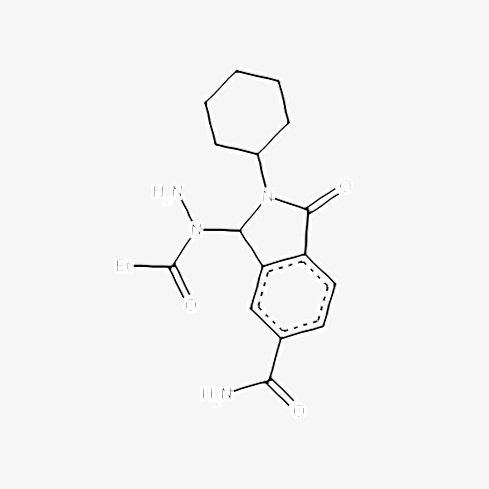 CCC(=O)N(N)C1c2cc(C(N)=O)ccc2C(=O)N1C1CCCCC1